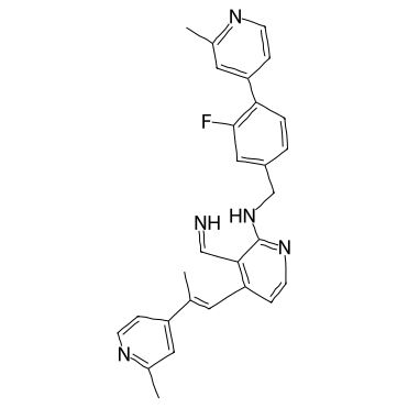 C/C(=C\c1ccnc(NCc2ccc(-c3ccnc(C)c3)c(F)c2)c1C=N)c1ccnc(C)c1